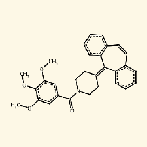 COc1cc(C(=O)N2CCC(=C3c4ccccc4C=Cc4ccccc43)CC2)cc(OC)c1OC